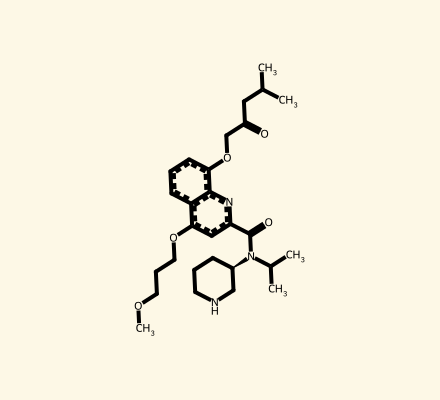 COCCCOc1cc(C(=O)N(C(C)C)[C@@H]2CCCNC2)nc2c(OCC(=O)CC(C)C)cccc12